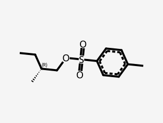 CC[C@@H](C)COS(=O)(=O)c1ccc(C)cc1